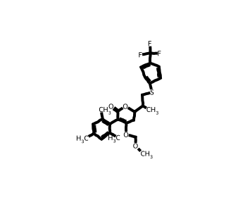 COCOC1=C(c2c(C)cc(C)cc2C)C(=O)OC(C(C)CSc2ccc(C(F)(F)F)cc2)C1